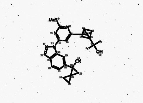 CSc1nc(N2CC3(C(C)(C)O)CC2C3)cc(-n2ncc3ccc(C4(C#N)CC45CC5)cc32)n1